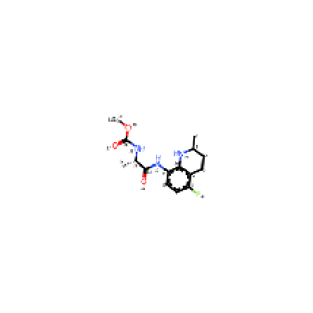 CC1CCc2c(F)ccc(NC(=O)[C@H](C)NC(=O)OC(C)(C)C)c2N1